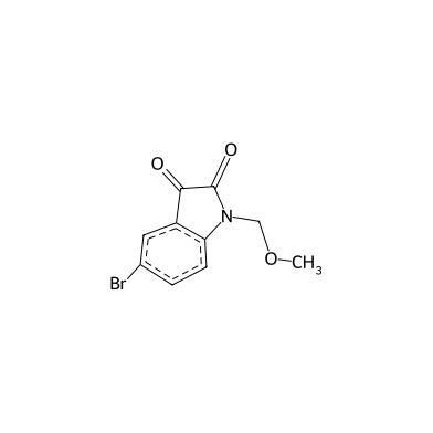 COCN1C(=O)C(=O)c2cc(Br)ccc21